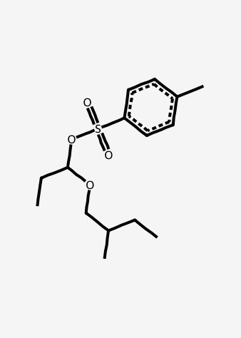 CCC(C)COC(CC)OS(=O)(=O)c1ccc(C)cc1